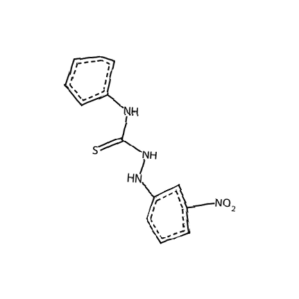 O=[N+]([O-])c1cccc(NNC(=S)Nc2ccccc2)c1